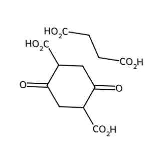 O=C(O)C1CC(=O)C(C(=O)O)CC1=O.O=C(O)CCC(=O)O